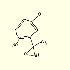 CC1(c2cc(Cl)ccc2O)NO1